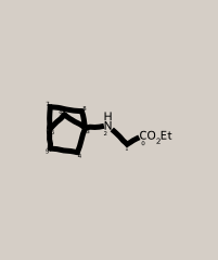 CCOC(=O)CNC12CCC(CC1)C2